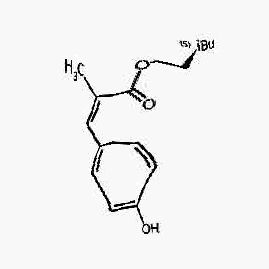 CC[C@H](C)COC(=O)C(C)=Cc1ccc(O)cc1